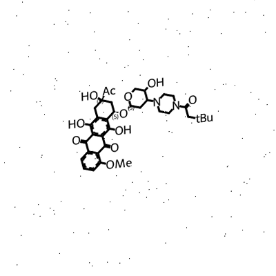 COc1cccc2c1C(=O)c1c(O)c3c(c(O)c1C2=O)C[C@@](O)(C(C)=O)C[C@@H]3O[C@H]1CC(N2CCN(C(=O)CC(C)(C)C)CC2)C(O)CO1